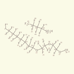 FCC(F)(F)C(F)(F)C(F)(F)C(F)(F)C(F)(F)C(F)(F)C(F)(F)OC(F)(F)C(F)(F)OC(F)(F)C(F)(F)OC(F)(F)F.O=S(=O)(O)C(F)(F)C(F)(F)C(F)(F)C(F)(F)F